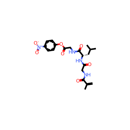 C=C(C)C(=O)NCC(=O)N[C@@H](CC(C)C)C(=O)NCC(=O)Oc1ccc([N+](=O)[O-])cc1